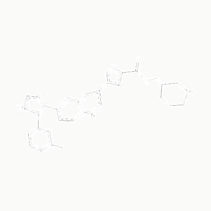 Cc1cccc(-c2[nH]cnc2-c2ccc3ncc(-c4csc(C(=O)OC[C@H]5CCCNC5)c4)cc3c2)n1